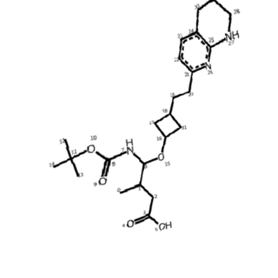 CC(CC(=O)O)C(NC(=O)OC(C)(C)C)OC1CC(CCc2ccc3c(n2)NCCC3)C1